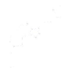 CC(C)(C)OC(=O)N1CCc2cnn3c(OCc4ccccn4)nnc3c2C1